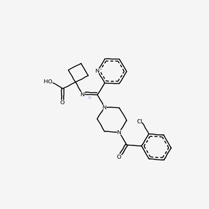 O=C(c1ccccc1Cl)N1CCN(/C(=N/C2(C(=O)O)CCC2)c2ccccn2)CC1